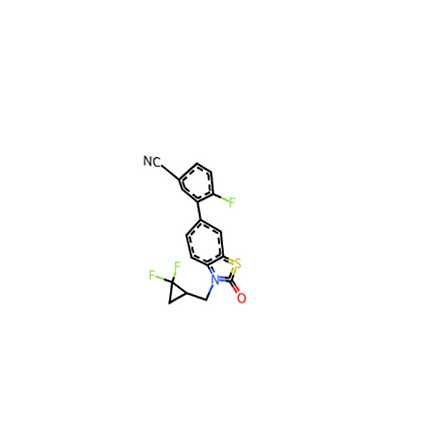 N#Cc1ccc(F)c(-c2ccc3c(c2)sc(=O)n3CC2CC2(F)F)c1